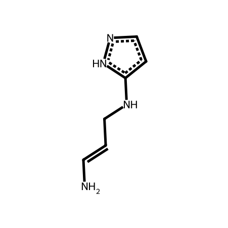 NC=CCNc1ccn[nH]1